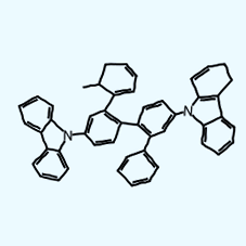 CC1CC=CC=C1c1cc(-n2c3ccccc3c3ccccc32)ccc1-c1ccc(-n2c3c(c4ccccc42)CCC=C3)cc1-c1ccccc1